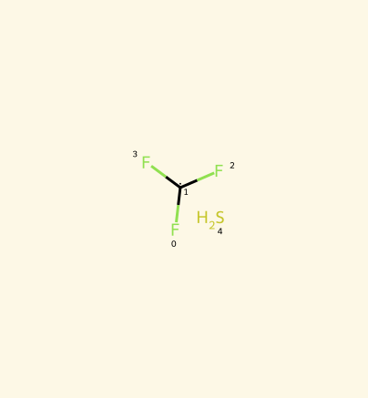 F[C](F)F.S